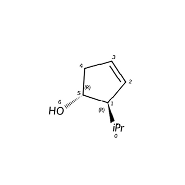 CC(C)[C@@H]1C=CC[C@H]1O